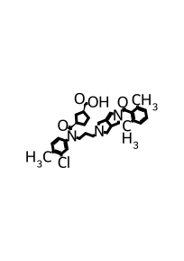 Cc1ccc(N(CCCN2CC3=CN(C(=O)c4c(C)cccc4C)CC3C2)C(=O)[C@@H]2CC[C@H](C(=O)O)C2)cc1Cl